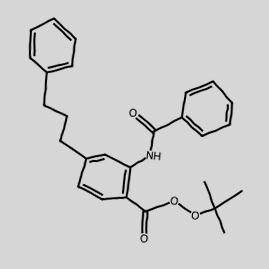 CC(C)(C)OOC(=O)c1ccc(CCCc2ccccc2)cc1NC(=O)c1ccccc1